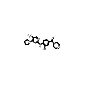 O=C(c1ccc(Nc2ncc(C(F)(F)F)c(N3CCCC3)n2)c(Br)c1)N1CCOCC1